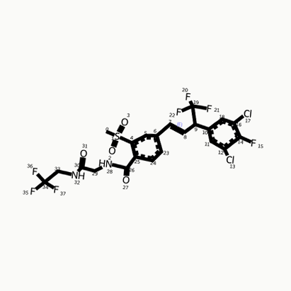 CS(=O)(=O)c1cc(/C=C/C(c2cc(Cl)c(F)c(Cl)c2)C(F)(F)F)ccc1C(=O)NCC(=O)NCC(F)(F)F